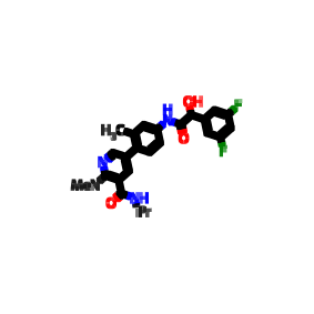 CNc1ncc(-c2ccc(NC(=O)C(O)c3cc(F)cc(F)c3)cc2C)cc1C(=O)NC(C)C